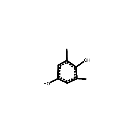 Cc1[c]c(O)cc(C)c1O